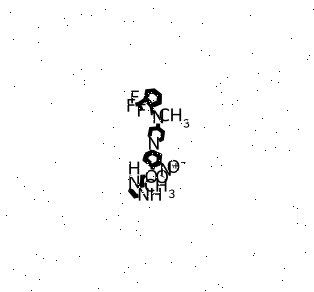 CN(Cc1ccccc1C(F)(F)F)C1CCN(c2ccc(OCC3(C)NC=CN3)c([N+](=O)[O-])c2)CC1